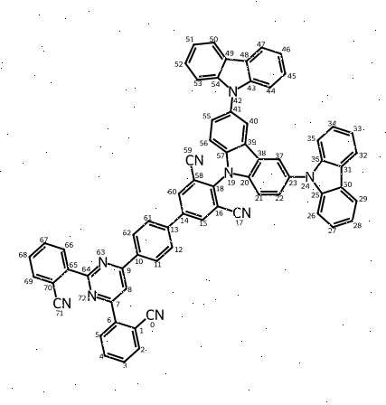 N#Cc1ccccc1-c1cc(-c2ccc(-c3cc(C#N)c(-n4c5ccc(-n6c7ccccc7c7ccccc76)cc5c5cc(-n6c7ccccc7c7ccccc76)ccc54)c(C#N)c3)cc2)nc(-c2ccccc2C#N)n1